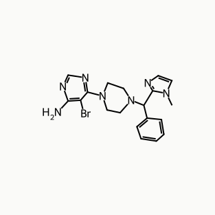 Cn1ccnc1C(c1ccccc1)N1CCN(c2ncnc(N)c2Br)CC1